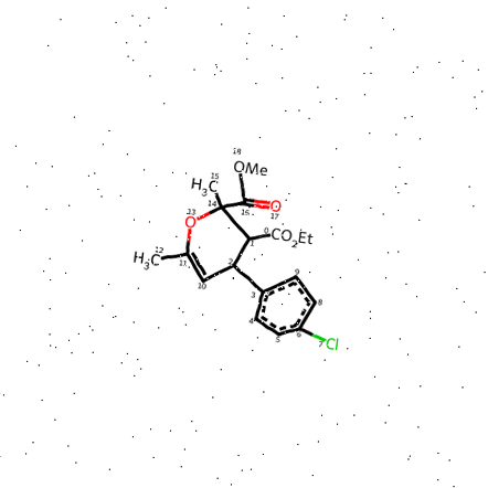 CCOC(=O)C1C(c2ccc(Cl)cc2)C=C(C)OC1(C)C(=O)OC